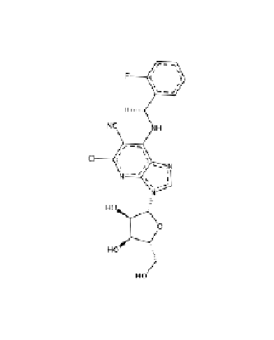 C[C@@H](Nc1c(C#N)c(Cl)nc2c1ncn2[C@@H]1O[C@H](CO)[C@@H](O)[C@H]1O)c1ccccc1F